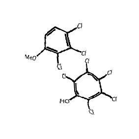 COc1ccc(Cl)c(Cl)c1Cl.Oc1c(Cl)c(Cl)c(Cl)c(Cl)c1Cl